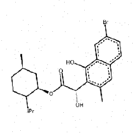 Cc1cc2ccc(Br)cc2c(O)c1[C@H](O)C(=O)O[C@@H]1C[C@H](C)CCC1C(C)C